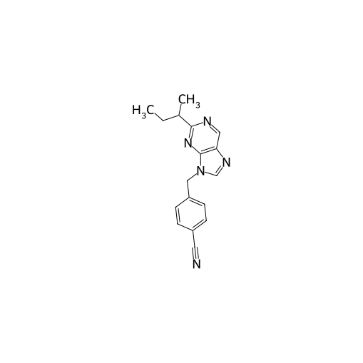 CCC(C)c1ncc2ncn(Cc3ccc(C#N)cc3)c2n1